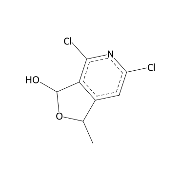 CC1OC(O)c2c1cc(Cl)nc2Cl